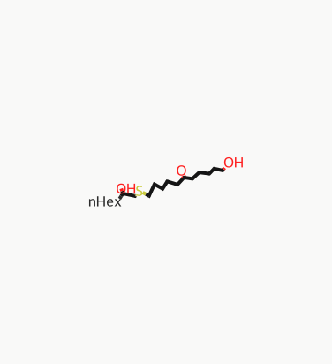 CCCCCCC(O)CSCCCCCC(=O)CCCCCO